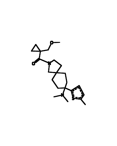 COCC1(C(=O)N2CCC3(CCC(c4ccc(C)s4)(N(C)C)CC3)C2)CC1